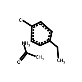 CC(N)=O.CCc1ccc(Cl)cc1